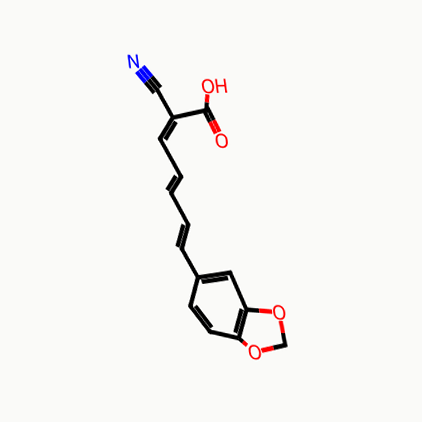 N#CC(=CC=CC=Cc1ccc2c(c1)OCO2)C(=O)O